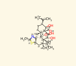 C=C(C)[C@@H]1CC[C@H]2[C@@]34CO[C@@](O)([C@@H](O)[C@@H]3[C@](C)(CC)Cc3sc(C)nc34)[C@@]2(C=O)[C@@H]1O